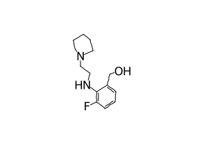 OCc1cccc(F)c1NCCN1CCCCC1